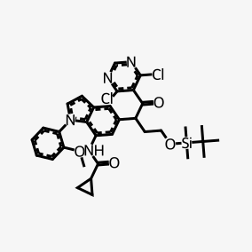 COc1ccccc1-n1ccc2cc(C(CCO[Si](C)(C)C(C)(C)C)C(=O)c3c(Cl)ncnc3Cl)cc(NC(=O)C3CC3)c21